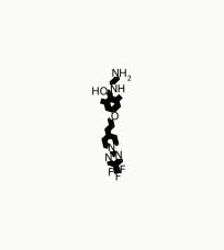 Cc1cc(OCCCC2CCN(c3ncc(C(F)(F)F)cn3)CC2)cc(C)c1C(O)NCCN